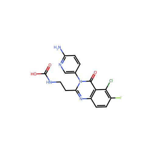 Nc1ccc(-n2c(CCNC(=O)O)nc3ccc(F)c(Cl)c3c2=O)cn1